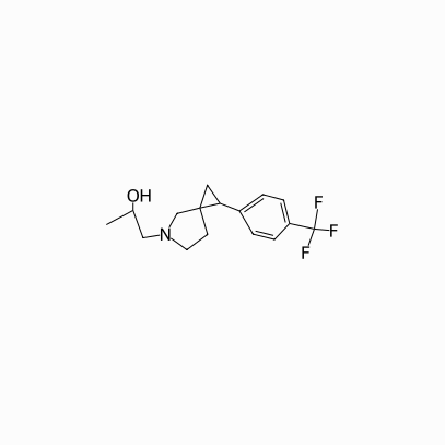 CC(O)CN1CCC2(CC2c2ccc(C(F)(F)F)cc2)C1